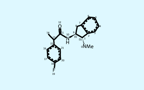 CN[C@H]1c2ccccc2C[C@@H]1NC(=O)C(C)c1ccc(F)cc1